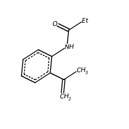 C=C(C)c1ccccc1NC(=O)CC